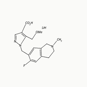 COCc1c(C(=O)O)cnn1Cc1cc2c(cc1F)CCN(C)C2.[LiH]